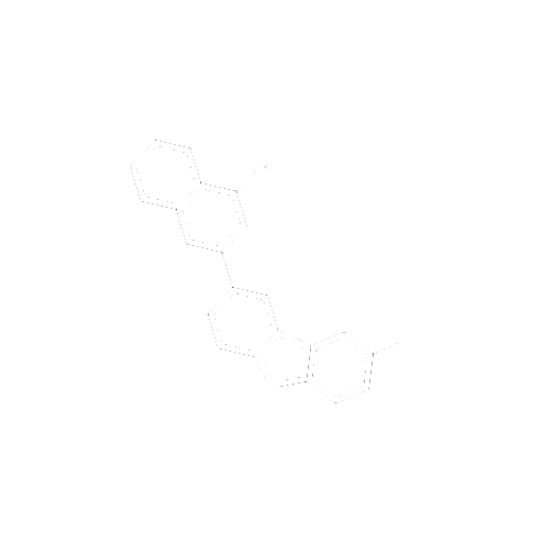 Clc1ccc2oc3ccc(-c4cc(Br)c5ccccc5c4)cc3c2c1